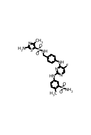 Cc1ccc(Nc2ncc(F)c(Nc3ccc(CNS(=O)(=O)c4sc(N)nc4C)cc3)n2)cc1S(N)(=O)=O